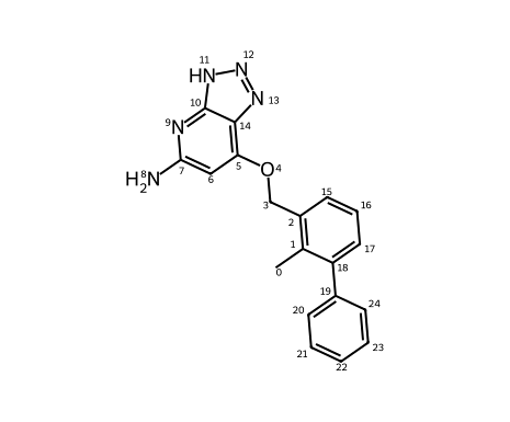 Cc1c(COc2cc(N)nc3[nH]nnc23)cccc1-c1ccccc1